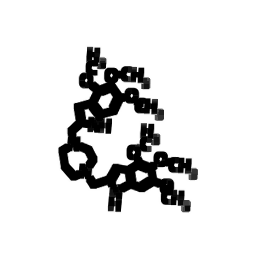 COc1cc2[nH]c(CN3CCCN(Cc4cc5c(OC)c(OC)c(OC)cc5[nH]4)CC3)cc2c(OC)c1OC